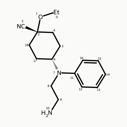 CCO[C@]1(C#N)CC[C@H](N(CCN)c2ccccc2)CC1